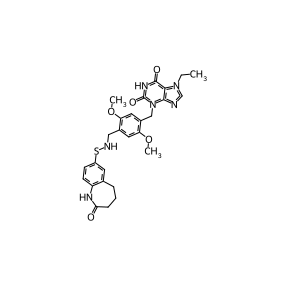 CCn1cnc2c1c(=O)[nH]c(=O)n2Cc1cc(OC)c(CNSc2ccc3c(c2)CCCC(=O)N3)cc1OC